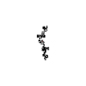 C=CC(=O)OCCOC(=O)NCCC1CC2CCC3(CCC(CCNC(=O)OCCOC(=O)C=C)C23)C1